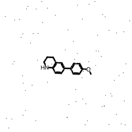 COc1ccc(-c2ccc3c(c2)CCCN3)cc1